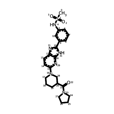 CS(=O)(=O)Nc1cccc(-c2nc3ccc(N4CCCC(C(=O)N5CCCC5)C4)nc3[nH]2)c1